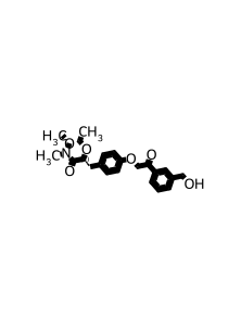 CCO[C@H](Cc1ccc(OCC(=O)c2cccc(CO)c2)cc1)C(=O)N(C)OC